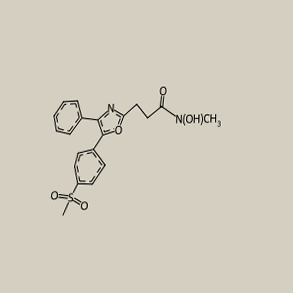 CN(O)C(=O)CCc1nc(-c2ccccc2)c(-c2ccc(S(C)(=O)=O)cc2)o1